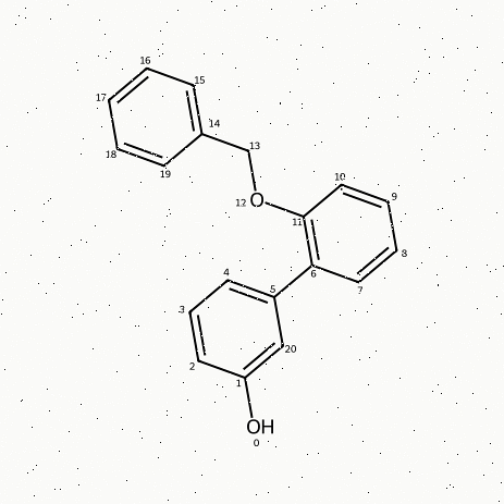 Oc1cccc(-c2ccc[c]c2OCc2ccccc2)c1